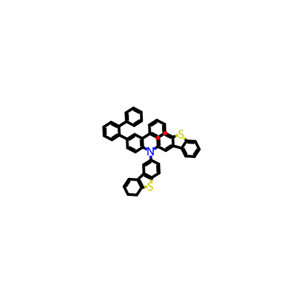 C1=Cc2c(sc3ccc(N(c4ccc5sc6ccccc6c5c4)c4ccc(-c5ccccc5-c5ccccc5)cc4-c4ccccc4)cc23)CC1